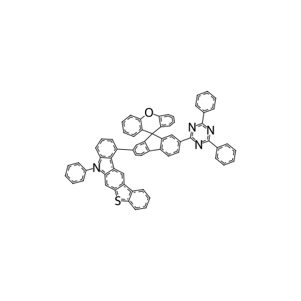 c1ccc(-c2nc(-c3ccccc3)nc(-c3ccc4c(c3)C3(c5ccccc5Oc5ccccc53)c3cc(-c5cccc6c5c5cc7c(cc5n6-c5ccccc5)sc5ccccc57)ccc3-4)n2)cc1